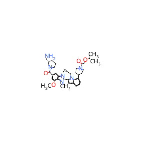 COc1cc(C(=O)N2CCC[C@@H](CN)C2)cc2nc(-c3cc4cccc(C5CCN(C(=O)COC(C)C)CC5)c4n3CC3CC3)n(C)c12